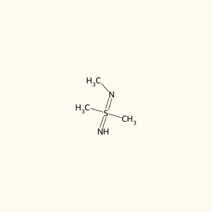 CN=S(C)(C)=N